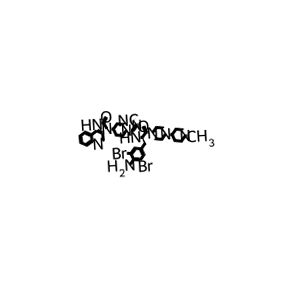 CN1CCC(N2CCN(C(=O)[C@@H](Cc3cc(Br)c(N)c(Br)c3)NC(=NC#N)N3CCC(n4c(=O)[nH]c5c6ccccc6ncc54)CC3)CC2)CC1